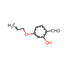 C=CCOc1ccc(C=O)c(O)c1